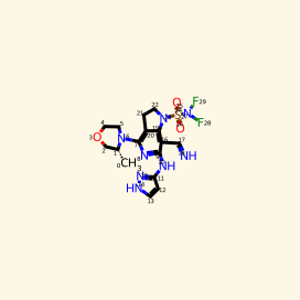 C[C@@H]1COCCN1c1nc(Nc2cc[nH]n2)c(C=N)c2c1CCN2S(=O)(=O)N(F)F